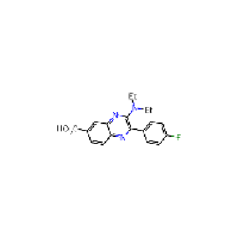 CCN(CC)c1nc2cc(C(=O)O)ccc2nc1-c1ccc(F)cc1